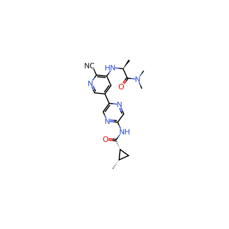 C[C@H](Nc1cc(-c2cnc(NC(=O)[C@@H]3C[C@@H]3C)cn2)cnc1C#N)C(=O)N(C)C